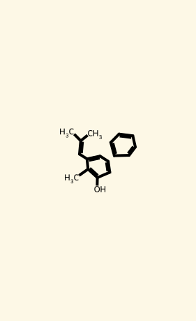 CC(C)=Cc1cccc(O)c1C.c1ccccc1